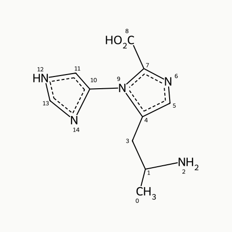 CC(N)Cc1cnc(C(=O)O)n1-c1c[nH]cn1